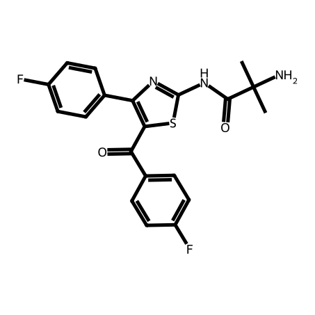 CC(C)(N)C(=O)Nc1nc(-c2ccc(F)cc2)c(C(=O)c2ccc(F)cc2)s1